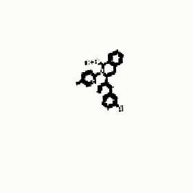 C=CC(=Cc1cccc(Cl)c1)C1=Cc2ccccc2C(C=O)N1c1ccc(C)cn1